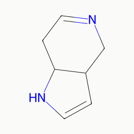 C1=CC2CN=CCC2N1